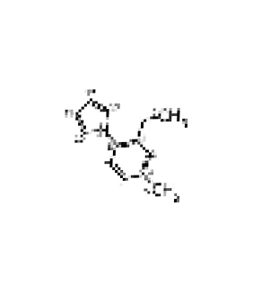 CCc1cc(C)ccc1-n1cccc1